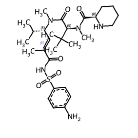 C/C(=C\[C@H](C(C)C)N(C)C(=O)[C@@H](N(C)C(=O)[C@H]1CCCCN1)C(C)(C)C)C(=O)NS(=O)(=O)c1ccc(N)cc1